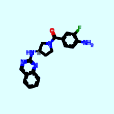 Nc1ccc(C(=O)N2CC[C@H](Nc3ncc4ccccc4n3)C2)cc1F